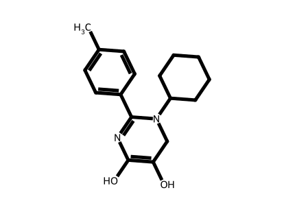 Cc1ccc(C2=NC(O)=C(O)CN2C2CCCCC2)cc1